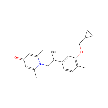 CCC(C)C(Cn1c(C)cc(=O)cc1C)c1ccc(C)c(OCC2CC2)c1